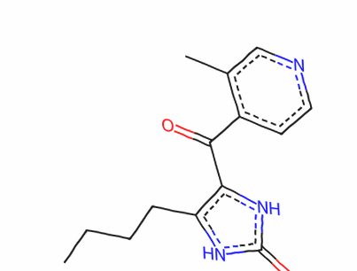 CCCCc1[nH]c(=O)[nH]c1C(=O)c1ccncc1C